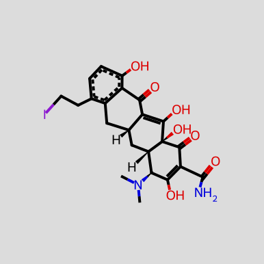 CN(C)[C@@H]1C(O)=C(C(N)=O)C(=O)[C@@]2(O)C(O)=C3C(=O)c4c(O)ccc(CCI)c4C[C@H]3C[C@@H]12